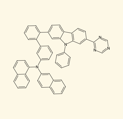 c1ccc(-n2c3cc(-c4ncncn4)ccc3c3ccc(-c4ccccc4-c4cccc(N(c5ccc6ccccc6c5)c5cccc6ccccc56)c4)cc32)cc1